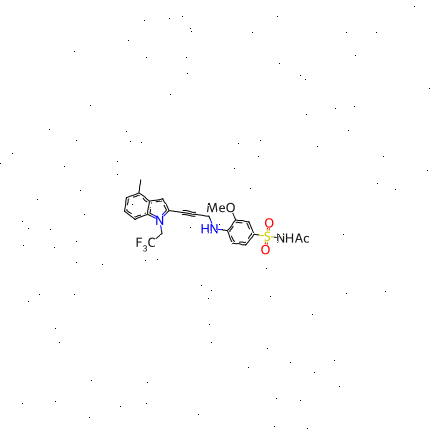 COc1cc(S(=O)(=O)NC(C)=O)ccc1NCC#Cc1cc2c(C)cccc2n1CC(F)(F)F